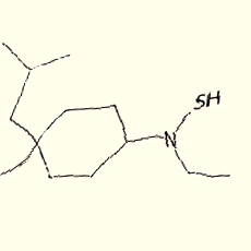 CCN(S)C1CCC(C)(CC(C)C)CC1